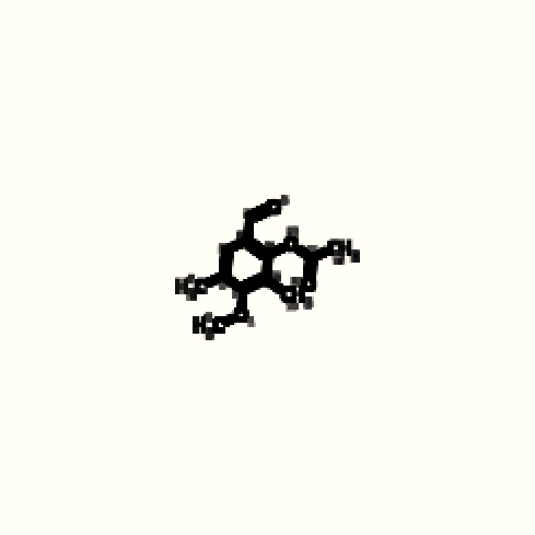 COc1c(C)cc(C=O)c(OC(C)=O)c1C